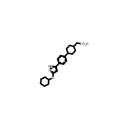 O=C(O)CC1CCC(c2ccc(-c3cc(OC4CCCCC4)n[nH]3)cc2)CC1